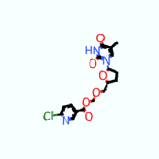 Cc1cn([C@H]2CC[C@@H](COCOC(=O)c3ccc(Cl)nc3)O2)c(=O)[nH]c1=O